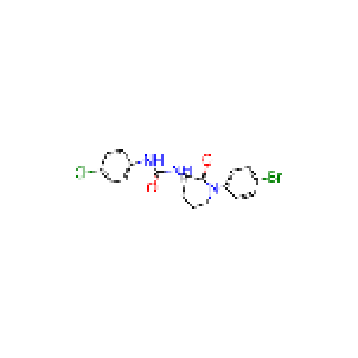 O=C(Nc1ccc(Cl)cc1)N[C@@H]1CCCN(c2ccc(Br)cc2)C1=O